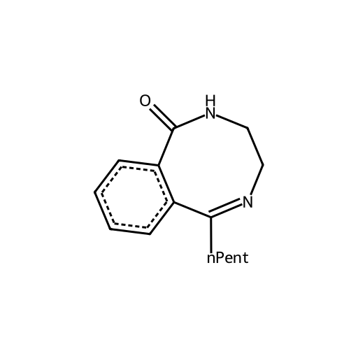 CCCCCC1=NCCNC(=O)c2ccccc21